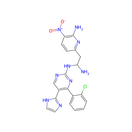 Nc1nc(CC(N)Nc2ncc(-c3ncc[nH]3)c(-c3ccccc3Cl)n2)ccc1[N+](=O)[O-]